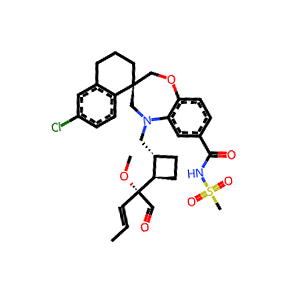 C/C=C/[C@@](C=O)(OC)[C@@H]1CC[C@H]1CN1C[C@@]2(CCCc3cc(Cl)ccc32)COc2ccc(C(=O)NS(C)(=O)=O)cc21